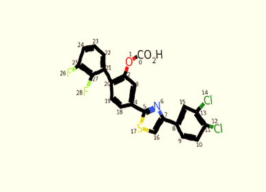 O=C(O)Oc1cc(-c2nc(-c3ccc(Cl)c(Cl)c3)cs2)ccc1-c1cccc(F)c1F